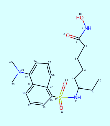 CCC(CCCCC(=O)NO)NS(=O)(=O)c1cccc2c(N(C)C)cccc12